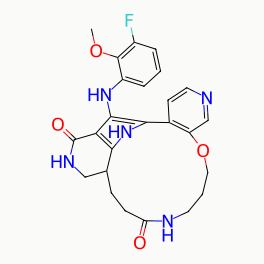 COc1c(F)cccc1Nc1c2[nH]c3c1C(=O)NCC3CCC(=O)NCCCOc1cnccc1-2